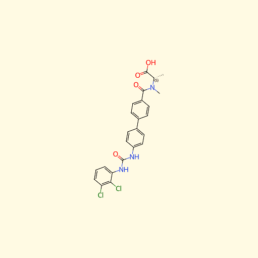 C[C@@H](C(=O)O)N(C)C(=O)c1ccc(-c2ccc(NC(=O)Nc3cccc(Cl)c3Cl)cc2)cc1